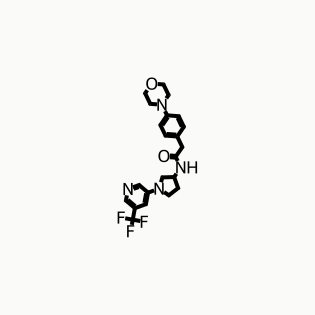 O=C(Cc1ccc(N2CCOCC2)cc1)NC1CCN(c2cncc(C(F)(F)F)c2)C1